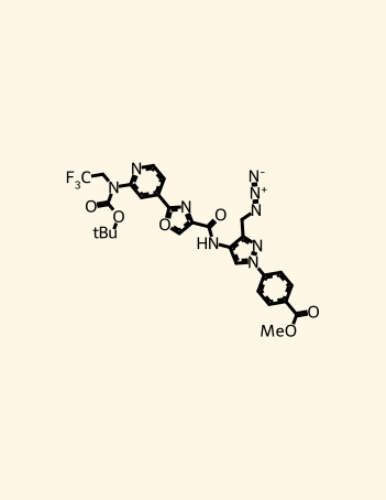 COC(=O)c1ccc(-n2cc(NC(=O)c3coc(-c4ccnc(N(CC(F)(F)F)C(=O)OC(C)(C)C)c4)n3)c(CN=[N+]=[N-])n2)cc1